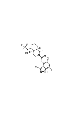 C[C@H]1[C@H]2CCC[C@@H]([C@H](O)C(F)(F)F)[C@@H]2CCN1C(=O)Cc1c(Cl)cc(F)c2[nH]nc(Cl)c12